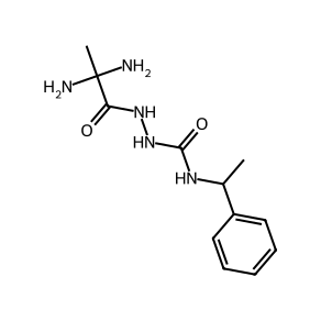 CC(NC(=O)NNC(=O)C(C)(N)N)c1ccccc1